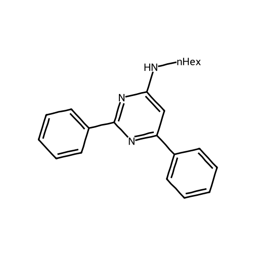 CCCCCCNc1cc(-c2ccccc2)nc(-c2ccccc2)n1